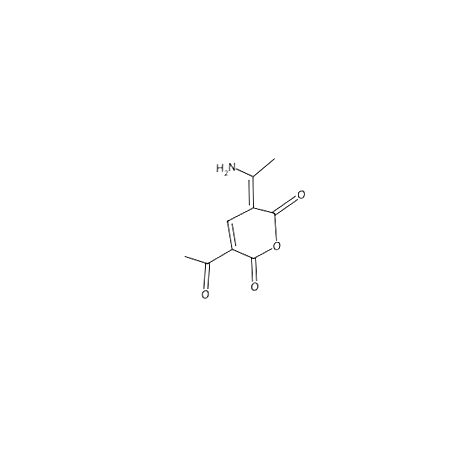 CC(=O)C1=CC(=C(C)N)C(=O)OC1=O